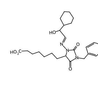 O=C(O)CCCCCCC1C(=O)N(Cc2ccccc2)C(=O)N1N=CC(O)C1CCCCC1